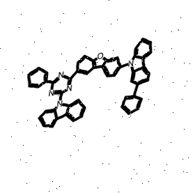 c1ccc(-c2ccc3c4ccccc4n(-c4ccc5c(c4)oc4ccc(-c6nc(-c7ccccc7)nc(-n7c8ccccc8c8ccccc87)n6)cc45)c3c2)cc1